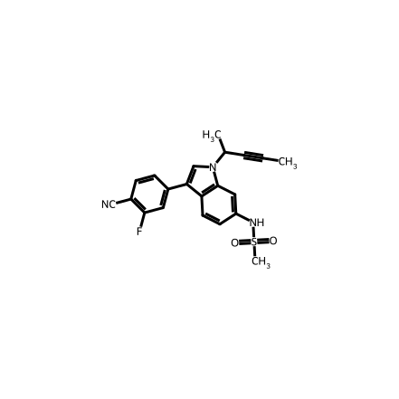 CC#CC(C)n1cc(-c2ccc(C#N)c(F)c2)c2ccc(NS(C)(=O)=O)cc21